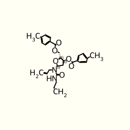 C=CCNC(=O)N(CC=C)[C@@H]1C[C@H](OC(=O)c2ccc(C)cc2)[C@@H](COC(=O)c2ccc(C)cc2)O1